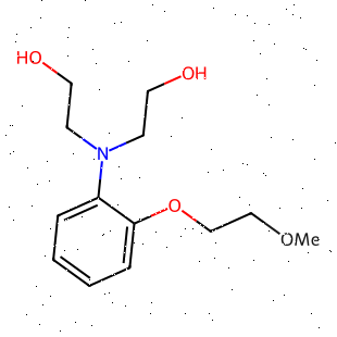 COCCOc1ccccc1N(CCO)CCO